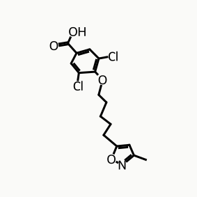 Cc1cc(CCCCCOc2c(Cl)cc(C(=O)O)cc2Cl)on1